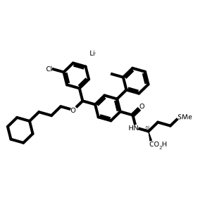 CSCC[C@H](NC(=O)c1ccc(C(OCCCC2CCCCC2)c2cccc(Cl)c2)cc1-c1ccccc1C)C(=O)O.[Li]